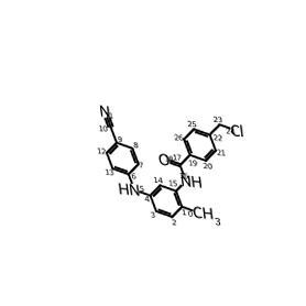 Cc1ccc(Nc2ccc(C#N)cc2)cc1NC(=O)c1ccc(CCl)cc1